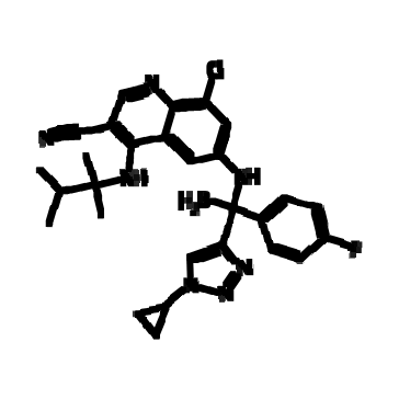 BC(Nc1cc(Cl)c2ncc(C#N)c(NC(C)(C)C(C)C)c2c1)(c1ccc(F)cc1)c1cn(C2CC2)nn1